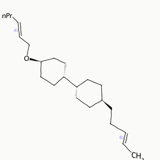 C/C=C/CC[C@H]1CC[C@H]([C@H]2CC[C@H](OC/C=C/CCC)CC2)CC1